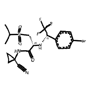 CC(C)S(=O)(=O)C[C@H](N[C@@H](c1ccc(Br)cc1)C(F)(F)F)C(=O)NC1(C#N)CC1